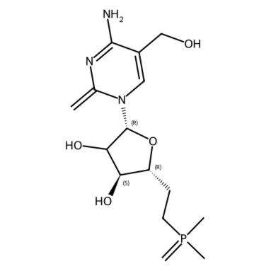 C=C1N=C(N)C(CO)=CN1[C@@H]1O[C@H](CCP(=C)(C)C)[C@@H](O)C1O